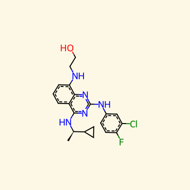 C[C@@H](Nc1nc(Nc2ccc(F)c(Cl)c2)nc2c(NCCO)cccc12)C1CC1